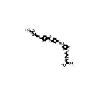 C=CC(=O)OCCCOc1ccc(C(=O)Oc2ccc(OCOc3ccc(OCCCOOC(=C)C)cc3)cc2)cc1